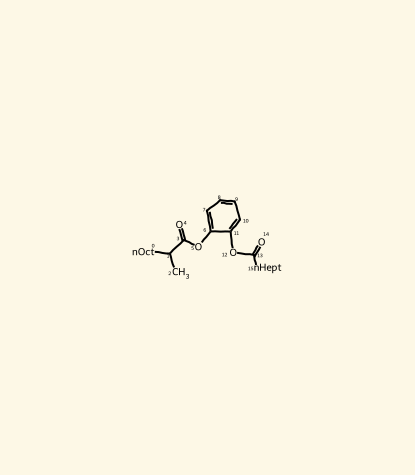 CCCCCCCCC(C)C(=O)Oc1ccccc1OC(=O)CCCCCCC